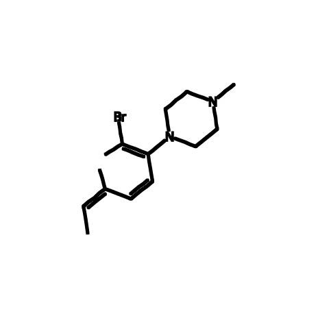 C\C=C(C)/C=C\C(=C(/C)Br)N1CCN(C)CC1